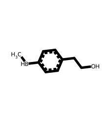 CBc1ccc(CCO)cc1